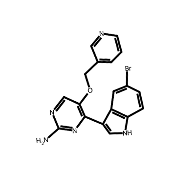 Nc1ncc(OCc2cccnc2)c(-c2c[nH]c3ccc(Br)cc23)n1